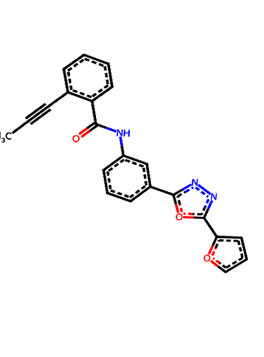 CC#Cc1ccccc1C(=O)Nc1cccc(-c2nnc(-c3ccco3)o2)c1